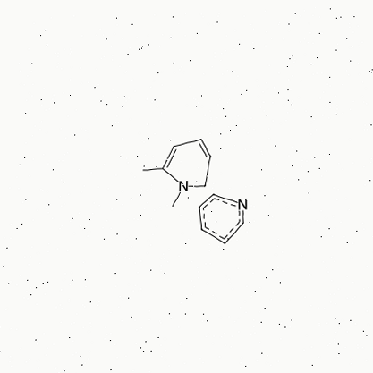 CC1=CC=CCN1C.c1ccncc1